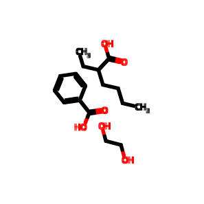 CCCCC(CC)C(=O)O.O=C(O)c1ccccc1.OCCO